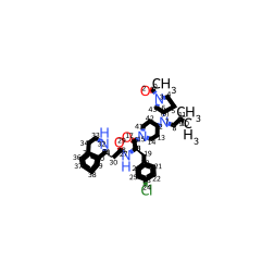 CC(=O)N1CC[C@H](N(CC(C)C)C2CCN(C(=O)[C@@H](Cc3ccc(Cl)cc3)NC(=O)C[C@H]3NCCc4ccccc43)CC2)C1